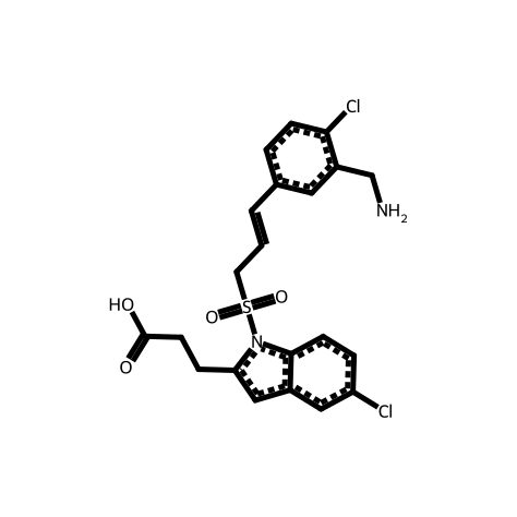 NCc1cc(C=CCS(=O)(=O)n2c(CCC(=O)O)cc3cc(Cl)ccc32)ccc1Cl